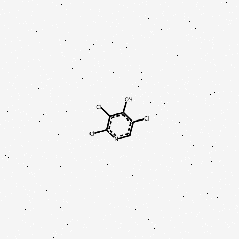 Oc1c(Cl)cnc(Cl)c1Cl